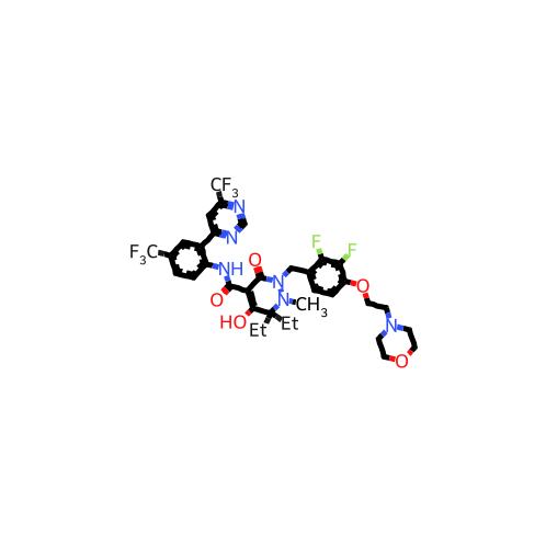 CCC1(CC)C(O)=C(C(=O)Nc2ccc(C(F)(F)F)cc2-c2cc(C(F)(F)F)ncn2)C(=O)N(Cc2ccc(OCCN3CCOCC3)c(F)c2F)N1C